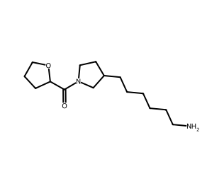 NCCCCCCC1CCN(C(=O)C2CCCO2)C1